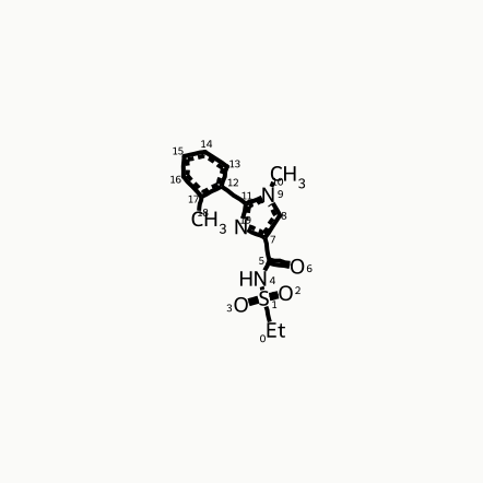 CCS(=O)(=O)NC(=O)c1cn(C)c(-c2ccccc2C)n1